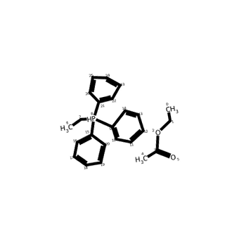 CCOC(C)=O.CC[PH](c1ccccc1)(c1ccccc1)c1ccccc1